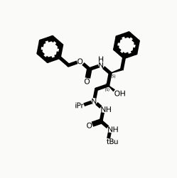 CC(C)N(C[C@H](O)[C@H](Cc1ccccc1)NC(=O)OCc1ccccc1)NC(=O)NC(C)(C)C